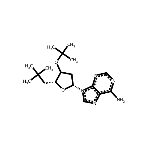 CC(C)(C)C[C@H]1O[C@@H](n2cnc3c(N)ncnc32)CC1OC(C)(C)C